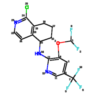 FC(F)Oc1cc(C(F)(F)F)cnc1NC1CCCc2c1ccnc2Cl